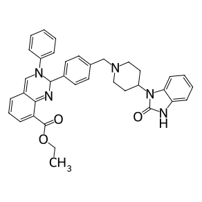 CCOC(=O)c1cccc2c1=NC(c1ccc(CN3CCC(n4c(=O)[nH]c5ccccc54)CC3)cc1)N(c1ccccc1)C=2